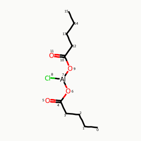 CCCCC(=O)[O][Al]([Cl])[O]C(=O)CCCC